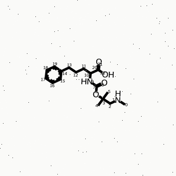 CNCC(C)(C)OC(=O)NC(CCCc1ccccc1)C(=O)O